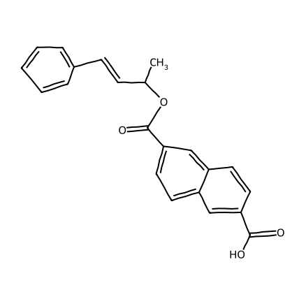 CC(C=Cc1ccccc1)OC(=O)c1ccc2cc(C(=O)O)ccc2c1